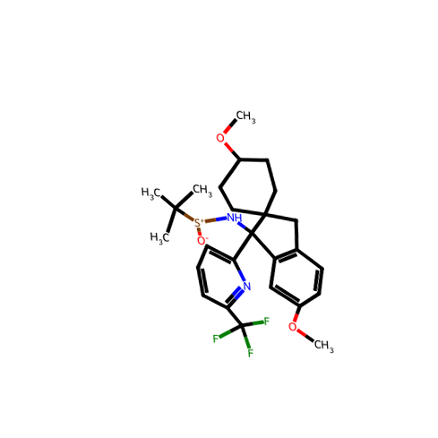 COc1ccc2c(c1)C(N[S+]([O-])C(C)(C)C)(c1cccc(C(F)(F)F)n1)C1(CCC(OC)CC1)C2